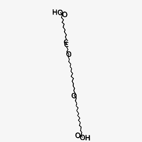 O=C(O)CCCCCCCCCCCCCCCOCCCCCCCCCCCCCCCCOCCCCCCCCCCCCCCCC(=O)O